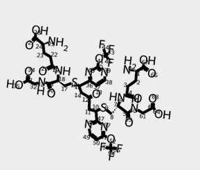 N[C@H](CCC(=O)N[C@@H](CSC(CC(=O)CC(SC[C@H](NC(=O)CC[C@H](N)C(=O)O)C(=O)NCC(=O)O)c1ccnc(OC(F)(F)F)n1)c1nccc(OC(F)(F)F)n1)C(=O)NCC(=O)O)C(=O)O